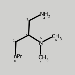 CCCCC(CN)N(C)C